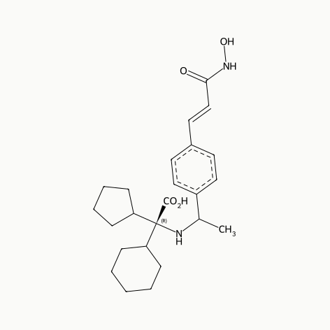 CC(N[C@](C(=O)O)(C1CCCCC1)C1CCCC1)c1ccc(C=CC(=O)NO)cc1